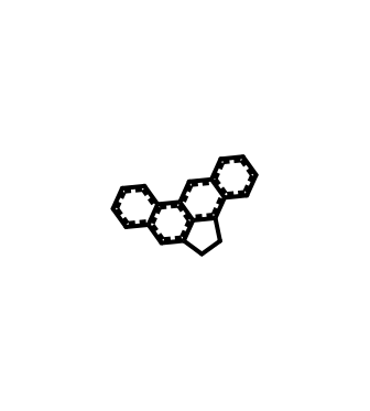 c1ccc2c3c4c(cc5ccccc5c4cc2c1)CC3